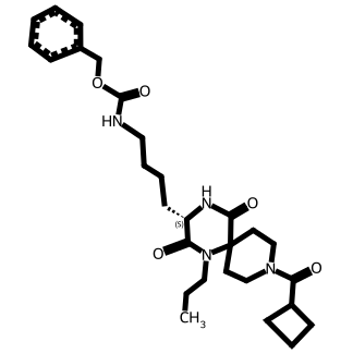 CCCN1C(=O)[C@H](CCCCNC(=O)OCc2ccccc2)NC(=O)C12CCN(C(=O)C1CCC1)CC2